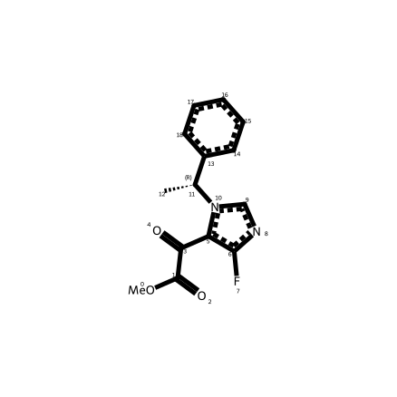 COC(=O)C(=O)c1c(F)ncn1[C@H](C)c1ccccc1